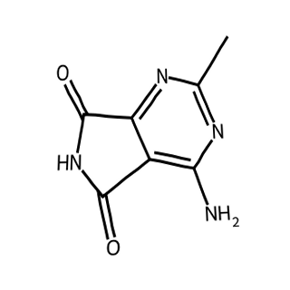 Cc1nc(N)c2c(n1)C(=O)NC2=O